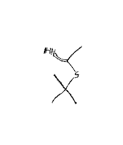 CC(=N)SC(C)(C)C